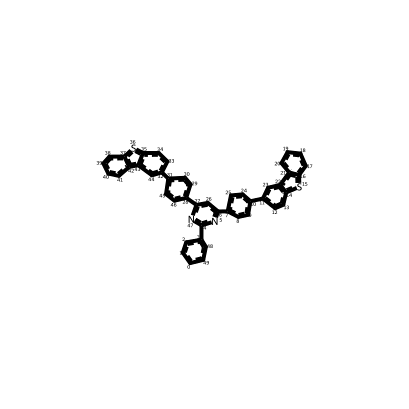 c1ccc(-c2nc(-c3ccc(-c4ccc5sc6ccccc6c5c4)cc3)cc(-c3ccc(-c4ccc5sc6ccccc6c5c4)cc3)n2)cc1